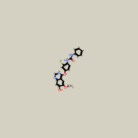 COc1cc2c(Oc3ccc(NC(=O)Nc4ccccc4)c(F)c3)ncnc2cc1O